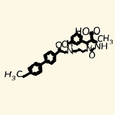 CCc1ccc(-c2ccc(C(=O)CNCCCN3C(=O)NC(C)=C(C(=O)O)C3c3cccc(Cl)c3)cc2)cc1